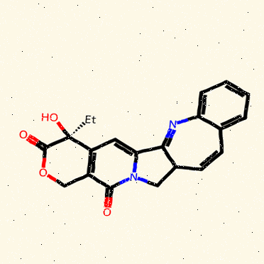 CC[C@@]1(O)C(=O)OCc2c1cc1n(c2=O)CC2C=Cc3ccccc3N=C12